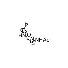 CC(=O)Nc1nc(CC(=O)Nc2ncc(C3CC3)s2)cs1